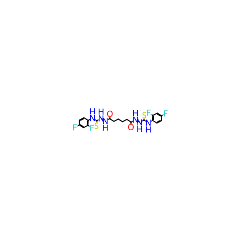 O=C(CCCCC(=O)NNC(=S)Nc1ccc(F)cc1F)NNC(=S)Nc1ccc(F)cc1F